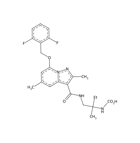 CCC(C)(CNC(=O)c1c(C)nn2c(OCc3c(F)cccc3F)cc(C)cc12)NC(=O)O